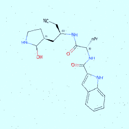 CCC[C@H](NC(=O)c1cc2ccccc2[nH]1)C(=O)N[C@H](CC#N)C[C@@H]1CCNC1O